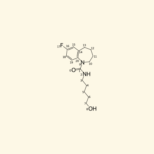 O=C(NCCCCCO)N1CCCCc2cc(F)ccc21